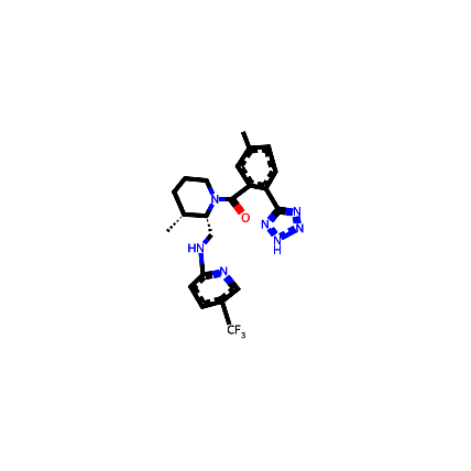 Cc1ccc(-c2nn[nH]n2)c(C(=O)N2CCC[C@@H](C)[C@H]2CNc2ccc(C(F)(F)F)cn2)c1